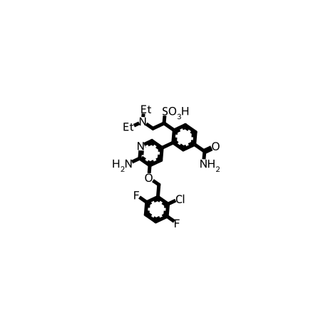 CCN(CC)CC(c1ccc(C(N)=O)cc1-c1cnc(N)c(OCc2c(F)ccc(F)c2Cl)c1)S(=O)(=O)O